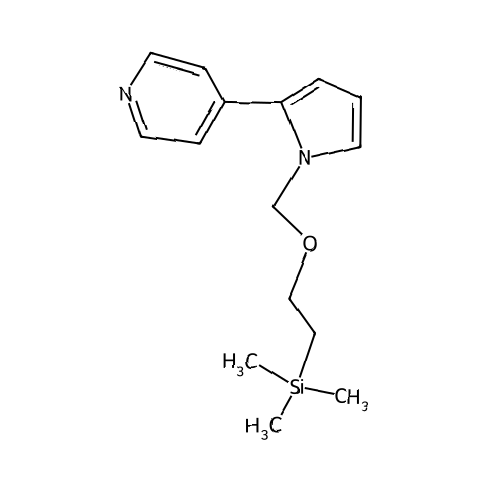 C[Si](C)(C)CCOCn1cccc1-c1ccncc1